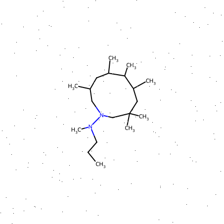 CCCN(C)N1CC(C)CC(C)C(C)C(C)CC(C)(C)C1